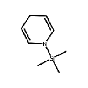 C[Si](C)(C)N1C=CCC=C1